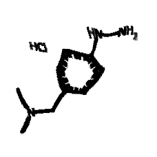 CN(C)Cc1ccc(NN)cc1.Cl